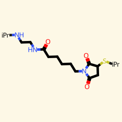 CC(C)NCCNC(=O)CCCCCN1C(=O)CC(SC(C)C)C1=O